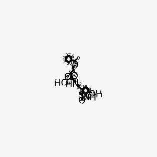 CC(OCCCS(=O)(=O)CCNCCc1ccc(O)c2[nH]c(=O)sc12)c1ccccc1.Cl